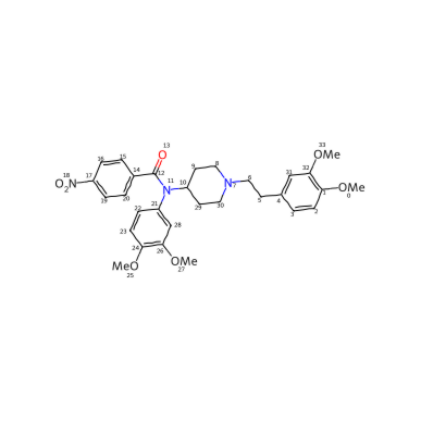 COc1ccc(CCN2CCC(N(C(=O)c3ccc([N+](=O)[O-])cc3)c3ccc(OC)c(OC)c3)CC2)cc1OC